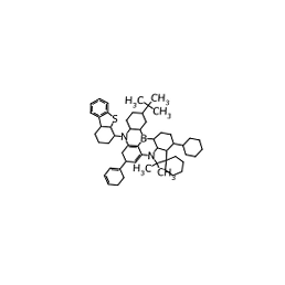 CC(C)(C)C1CCC2C(C1)B1C3=C(CC(C4=CC=CCC4)C=C3N3C4C1CCC(C1CCCCC1)C4C1(CCCCC1)C3(C)C)N2C1CCCC2c3ccccc3SC21